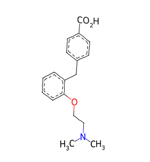 CN(C)CCOc1ccccc1Cc1ccc(C(=O)O)cc1